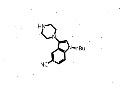 CCCCn1cc(N2CCNCC2)c2cc(C#N)ccc21